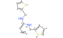 O=[N+]([O-])C=C(NCc1cccs1)NCc1cccs1